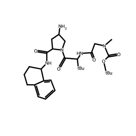 CN(CC(=O)NC(C(=O)N1CC(N)CC1C(=O)NC1CCCc2ccccc21)C(C)(C)C)C(=O)OC(C)(C)C